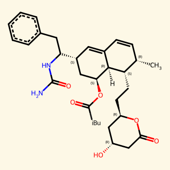 CCC(C)C(=O)O[C@H]1C[C@H](C(Cc2ccccc2)NC(N)=O)C=C2C=C[C@H](C)[C@H](CC[C@@H]3C[C@@H](O)CC(=O)O3)[C@H]21